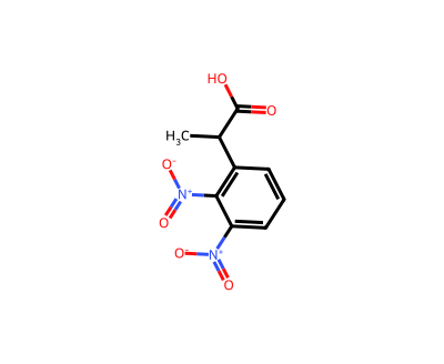 CC(C(=O)O)c1cccc([N+](=O)[O-])c1[N+](=O)[O-]